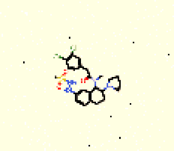 CN(C(=O)Cc1ccc(Cl)c(Cl)c1)C1c2cc(NNS(C)(=O)=O)ccc2CCC1N1CCCC1